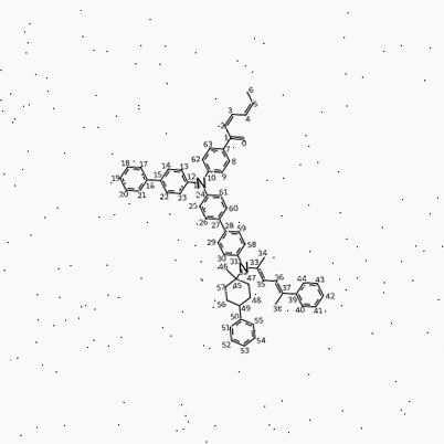 C=C(/C=C\C=C/C)c1ccc(N(c2ccc(-c3ccccc3)cc2)c2ccc(-c3ccc(N(/C(C)=C/C=C(\C)c4ccccc4)C4(C)CCC(c5ccccc5)CC4)cc3)cc2)cc1